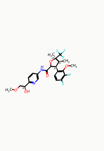 COC[C@H](O)c1ccc(NC(=O)C2O[C@@](C)(C(F)(F)F)[C@@H](C)[C@H]2c2ccc(F)c(F)c2OC)cn1